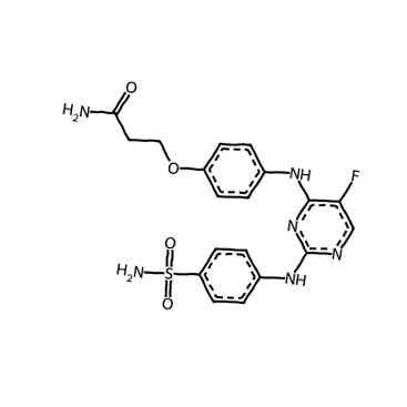 NC(=O)CCOc1ccc(Nc2nc(Nc3ccc(S(N)(=O)=O)cc3)ncc2F)cc1